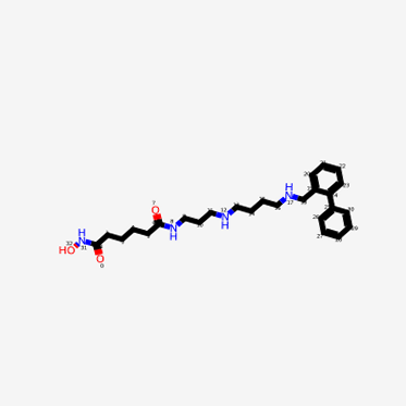 O=C(CCCCC(=O)NCCCNCCCCNCc1ccccc1-c1ccccc1)NO